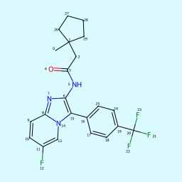 CC1(CC(=O)Nc2nc3ccc(F)cn3c2-c2ccc(C(F)(F)F)cc2)CCCC1